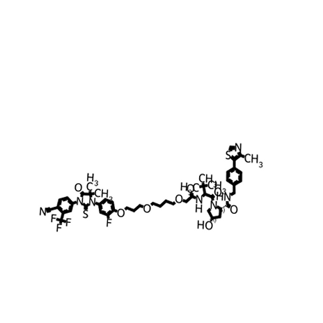 Cc1ncsc1-c1ccc(CNC(=O)[C@@H]2C[C@@H](O)CN2C(=O)C(NC(=O)COCCCCOCCCOc2ccc(N3C(=S)N(c4ccc(C#N)c(C(F)(F)F)c4)C(=O)C3(C)C)cc2F)C(C)(C)C)cc1